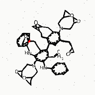 C=Cc1c(Nc2ccccc2)c(N(CC2CO2)CC2CO2)c(Nc2ccccc2)c(CC2CO2)c1-c1cc(CC2CO2)c(N(CC2CO2)CC2CO2)c(CC2CO2)c1CC1CO1